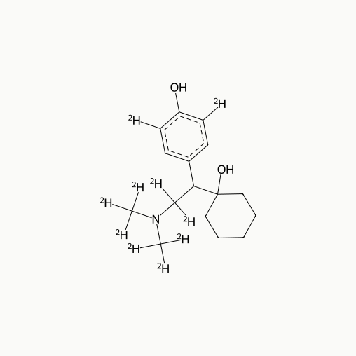 [2H]c1cc(C(C2(O)CCCCC2)C([2H])([2H])N(C([2H])([2H])[2H])C([2H])([2H])[2H])cc([2H])c1O